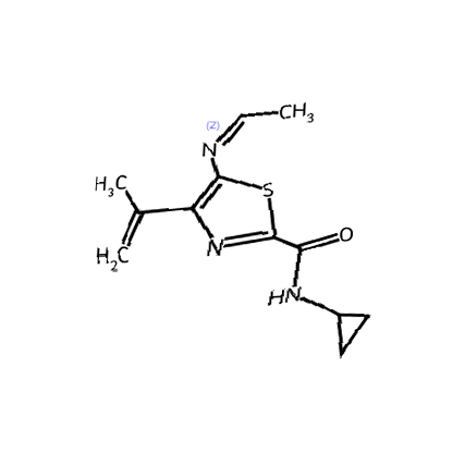 C=C(C)c1nc(C(=O)NC2CC2)sc1/N=C\C